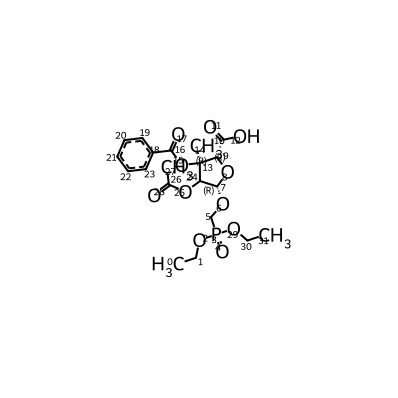 CCOP(=O)(CO[C@H]1O[C@@H](C(=O)O)[C@](C)(OC(=O)c2ccccc2)C1OC(C)=O)OCC